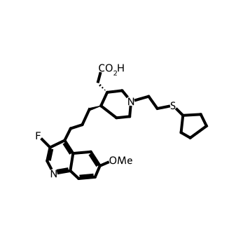 COc1ccc2ncc(F)c(CCC[C@@H]3CCN(CCSC4CCCC4)C[C@H]3CC(=O)O)c2c1